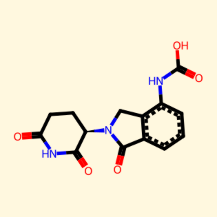 O=C(O)Nc1cccc2c1CN([C@@H]1CCC(=O)NC1=O)C2=O